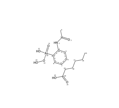 CC(=O)Nc1ccccc1[As](=O)(O)OO.CCCCCC(=O)O